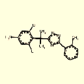 Cc1ccccc1-c1nc(C(C)(C)c2c(Cl)cc(N)cc2Cl)no1